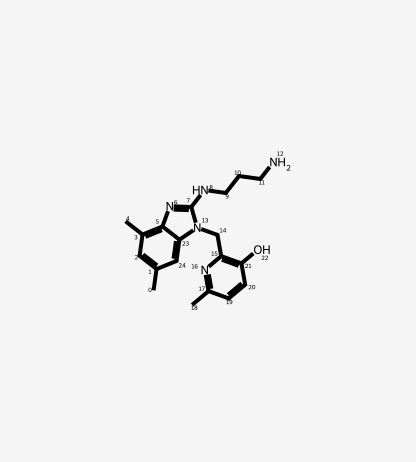 Cc1cc(C)c2nc(NCCCN)n(Cc3nc(C)ccc3O)c2c1